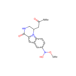 CNC(=O)CC1CNC(=O)c2cc3cc(N(O)OSC)ccc3n21